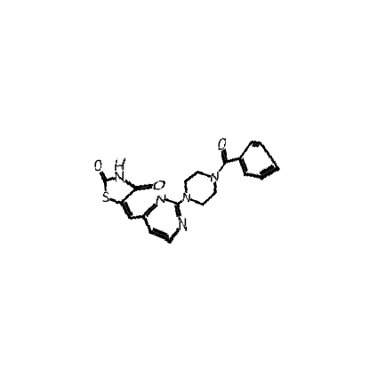 O=C1NC(=O)/C(=C\c2ccnc(N3CCN(C(=O)c4ccccc4)CC3)n2)S1